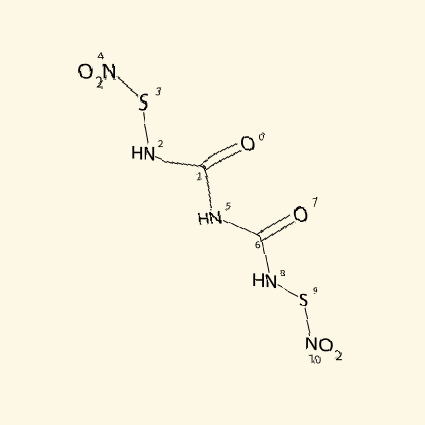 O=C(NS[N+](=O)[O-])NC(=O)NS[N+](=O)[O-]